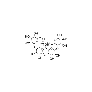 OC[C@H]1O[C@@H](O[C@H]2[C@H](O)[C@H](O)[C@H](O[C@H]3[C@H](O)[C@H](O)[C@H](O[C@H]4[C@H](O)[C@H](O)C(O)O[C@@H]4CO)O[C@@H]3CO)O[C@@H]2CO)[C@@H](O)[C@@H](O)[C@@H]1O